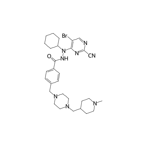 CN1CCC(CN2CCN(Cc3ccc(C(=O)NN(c4nc(C#N)ncc4Br)C4CCCCC4)cc3)CC2)CC1